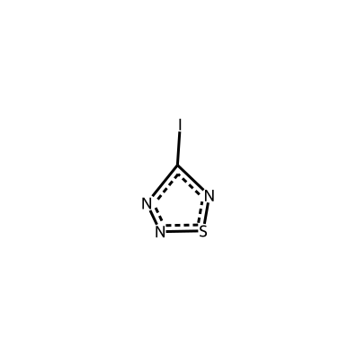 Ic1nnsn1